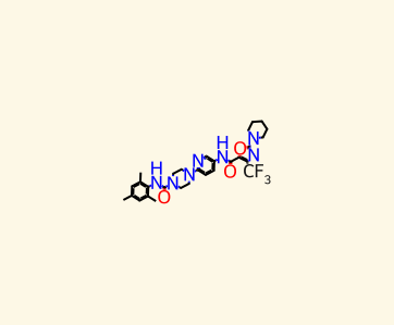 Cc1cc(C)c(NC(=O)N2CCN(c3ccc(NC(=O)c4oc(N5CCCCC5)nc4C(F)(F)F)cn3)CC2)c(C)c1